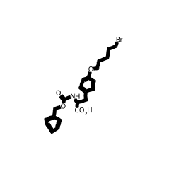 O=C(NC(Cc1ccc(OCCCCCBr)cc1)C(=O)O)OCc1ccccc1